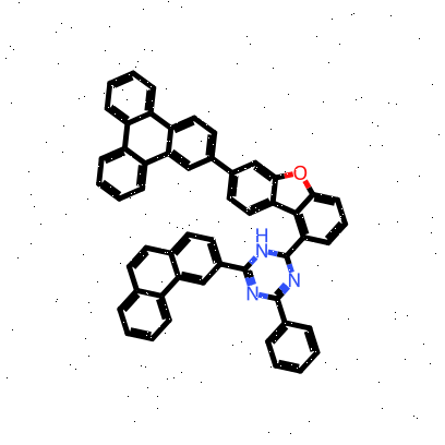 c1ccc(C2=NC(c3cccc4oc5cc(-c6ccc7c8ccccc8c8ccccc8c7c6)ccc5c34)NC(c3ccc4ccc5ccccc5c4c3)=N2)cc1